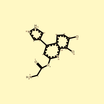 NCC(=O)Oc1cc(-c2cn[nH]c2)c2ccc(Cl)c(Cl)c2n1